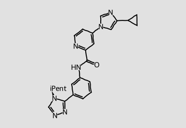 CCC[C@H](C)n1cnnc1-c1cccc(NC(=O)c2cc(-n3cnc(C4CC4)c3)ccn2)c1